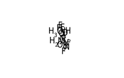 C[C@H](NS(=O)(=O)c1ccc(-c2c(C(N)=O)c3cc(F)cnc3n2C2CCC2)nc1)C(F)(F)F